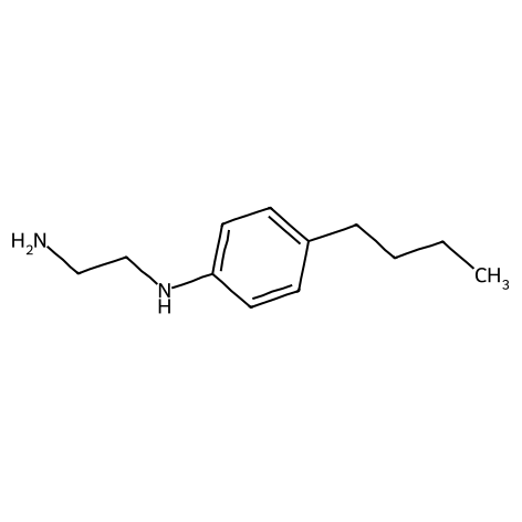 CCCCc1ccc(NCCN)cc1